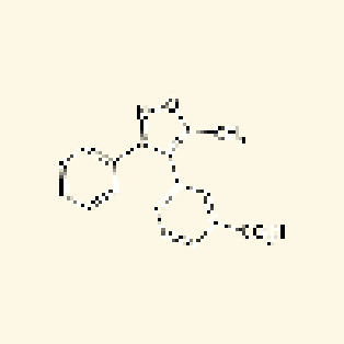 Cc1onc(-c2ccccc2)c1-c1cccc(C(=O)O)c1